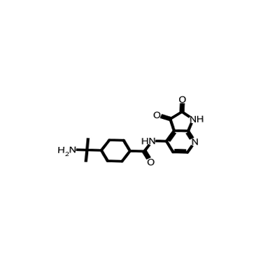 CC(C)(N)C1CCC(C(=O)Nc2ccnc3c2C(=O)C(=O)N3)CC1